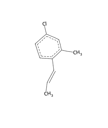 C/C=C/c1ccc(Cl)cc1C